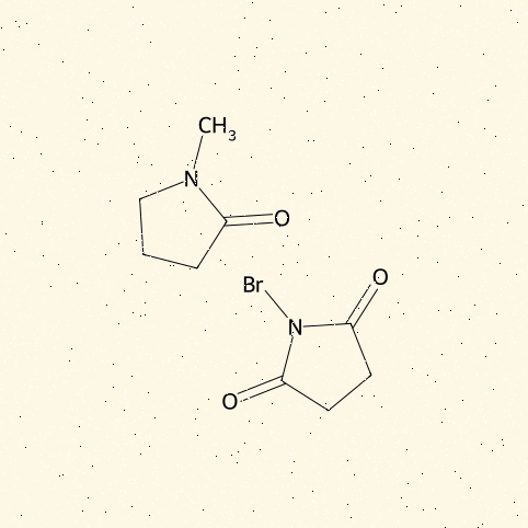 CN1CCCC1=O.O=C1CCC(=O)N1Br